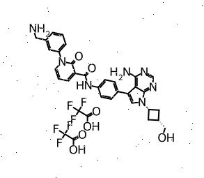 NCc1cccc(-n2cccc(C(=O)Nc3ccc(-c4cn([C@H]5C[C@@H](CO)C5)c5ncnc(N)c45)cc3)c2=O)c1.O=C(O)C(F)(F)F.O=C(O)C(F)(F)F